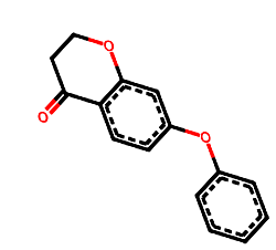 O=C1CCOc2cc(Oc3ccccc3)ccc21